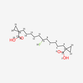 O=C(O)C1(CCCCCC(F)CCCCCC2(C(=O)O)CC2)CC1